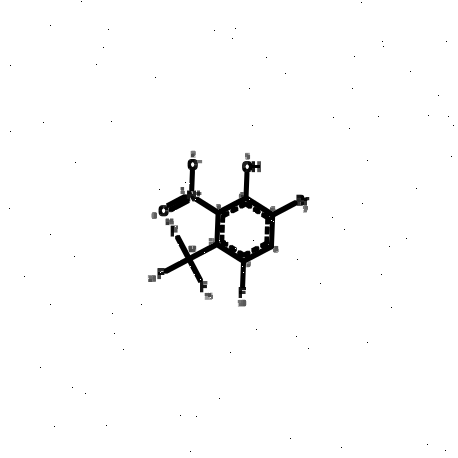 O=[N+]([O-])c1c(O)c(Br)cc(F)c1C(F)(F)F